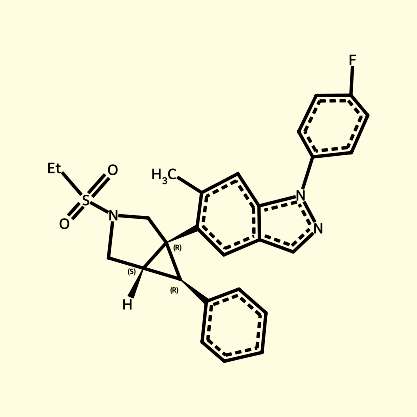 CCS(=O)(=O)N1C[C@H]2[C@H](c3ccccc3)[C@@]2(c2cc3cnn(-c4ccc(F)cc4)c3cc2C)C1